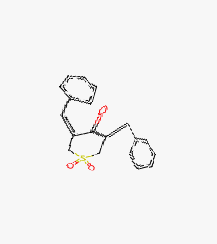 O=C1C(=Cc2ccccc2)CS(=O)(=O)CC1=Cc1ccccc1